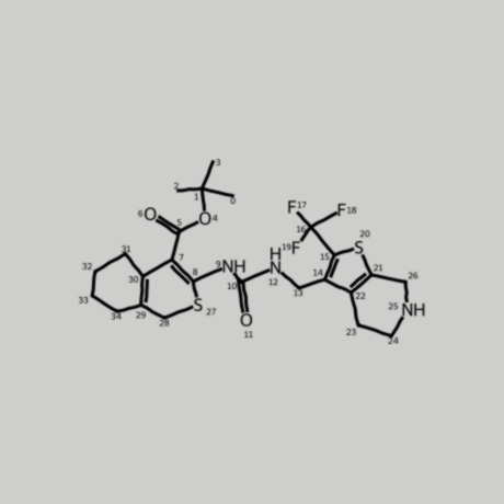 CC(C)(C)OC(=O)C1=C(NC(=O)NCc2c(C(F)(F)F)sc3c2CCNC3)SCC2=C1CCCC2